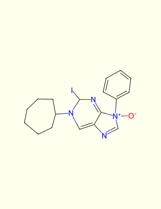 [O-][N+]1(c2ccccc2)C=NC2=CN(C3CCCCCC3)C(I)N=C21